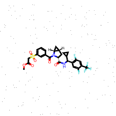 COC(=O)CS(=O)(=O)c1cccc(C(=O)N2[C@@H](C(=O)NC(c3cc(F)c(C(F)(F)F)cc3F)C3CC3)C[C@H]3C[C@H]32)c1